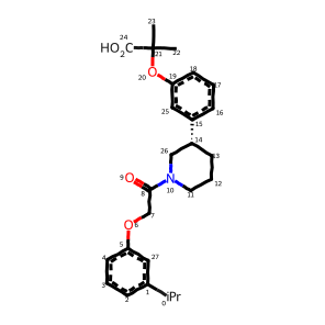 CC(C)c1cccc(OCC(=O)N2CCC[C@@H](c3cccc(OC(C)(C)C(=O)O)c3)C2)c1